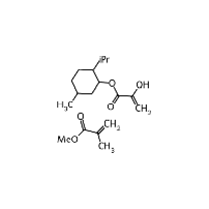 C=C(C)C(=O)OC.C=C(O)C(=O)OC1CC(C)CCC1C(C)C